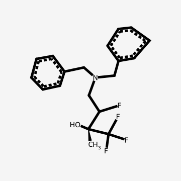 C[C@@](O)(C(F)CN(Cc1ccccc1)Cc1ccccc1)C(F)(F)F